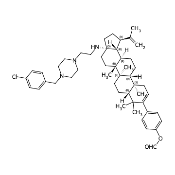 C=C(C)[C@@H]1CC[C@]2(NCCN3CCN(Cc4ccc(Cl)cc4)CC3)CC[C@]3(C)[C@H](CC[C@@H]4[C@@]5(C)CC=C(c6ccc(OC=O)cc6)C(C)(C)[C@@H]5CC[C@]43C)[C@@H]12